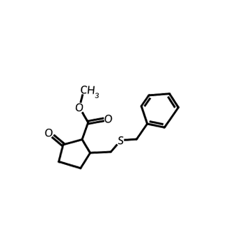 COC(=O)C1C(=O)CCC1CSCc1ccccc1